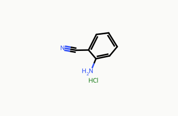 Cl.N#Cc1ccccc1N